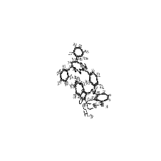 CC1(C)c2ccccc2N(c2cccc(-c3nc(-c4ccccc4)cc(-c4ccccc4)n3)c2)c2c1oc1ccccc21